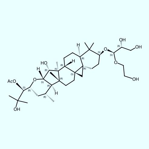 CC(=O)O[C@@H]([C@H]1C[C@@H](C)[C@H]2[C@H](O1)[C@H](O)[C@@]1(C)[C@@H]3CC[C@H]4C(C)(C)[C@@H](O[C@H](OCCO)[C@H](O)CO)CC[C@@]45C[C@@]35CC[C@]21C)C(C)(C)O